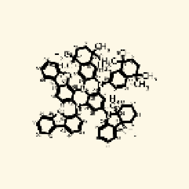 CC1(C)CCC(C)(C)c2cc(N3c4cc5c(cc4B4c6c3cc(N3c7ccccc7C7(C)CCCCC37C)cc6N(c3cccc6c3sc3ccccc36)c3ccc6c(oc7ccccc76)c34)C(C)(C)CCC5(C)C)ccc21